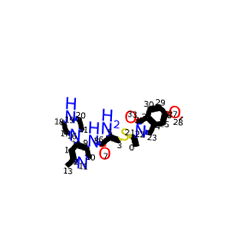 C=C(S/C=C(\N)C(=O)Nc1cnc(C)cc1N1CCNCC1)N1Cc2cc(OC)ccc2C1=O